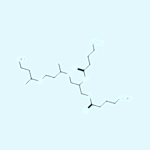 CCCCCCCCCCCCCC(=O)OCC(COC(C)CCOC(C)CCO)OC(=O)CCCCCCCCCCCCC